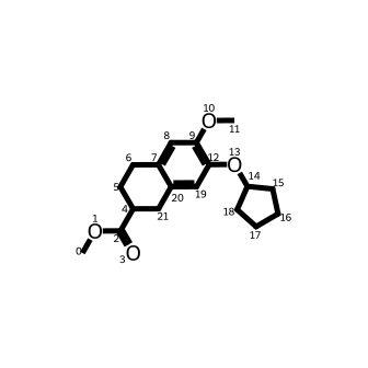 COC(=O)C1CCc2cc(OC)c(OC3CCCC3)cc2C1